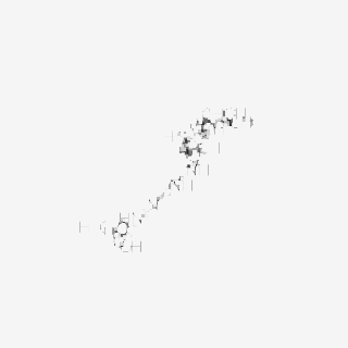 COc1ccc(CNCCCNCCCCNCCCN[C@H]2CC[C@]3(C)C4CC[C@@]5(C)C(CC[C@@H]5[C@H](C)CCCC(C)C)C4[C@H](O)C[C@H]3C2)cc1OC